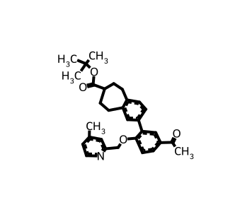 CC(=O)c1ccc(OCc2cc(C)ccn2)c(-c2ccc3c(c2)CCC(C(=O)OC(C)(C)C)CC3)c1